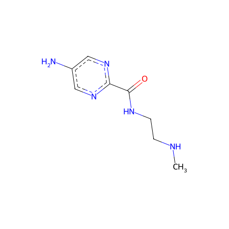 CNCCNC(=O)c1ncc(N)cn1